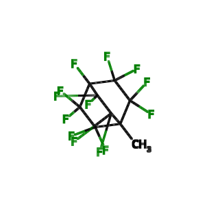 CC12C(F)(F)C(F)(F)C(F)(C(F)(F)C1(F)F)C(F)(F)C2(F)F